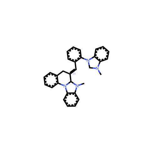 CN1CN(c2ccccc2/C=C2\Cc3ccccc3N3c4ccccc4N(C)C23)c2ccccc21